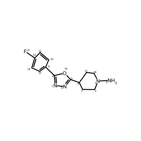 NN1CCC(c2nnc(-c3ccc(F)cc3)o2)CC1